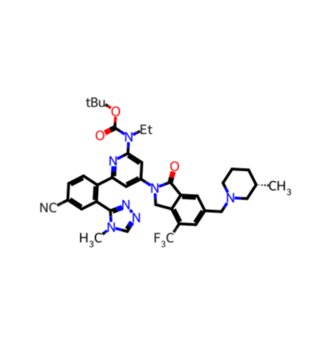 CCN(C(=O)OC(C)(C)C)c1cc(N2Cc3c(cc(CN4CCC[C@H](C)C4)cc3C(F)(F)F)C2=O)cc(-c2ccc(C#N)cc2-c2nncn2C)n1